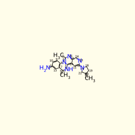 Cc1nc(N[C@H](C)c2cccc(N)c2)c2cc(N3CC[C@@H](C)C3)ncc2n1